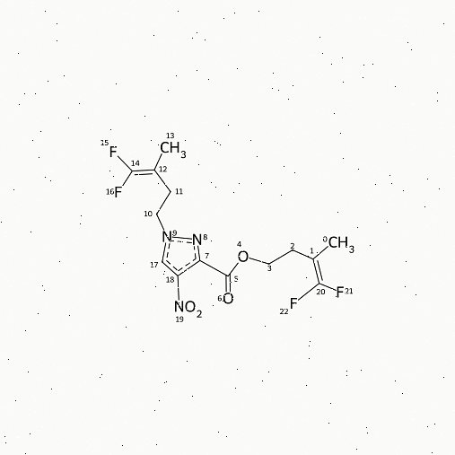 CC(CCOC(=O)c1nn(CCC(C)=C(F)F)cc1[N+](=O)[O-])=C(F)F